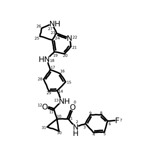 O=C(Nc1ccc(F)cc1)C1(C(=O)Nc2ccc(Nc3ccnc4c3CCN4)cc2)CC1